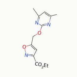 CCOC(=O)c1cc(COc2nc(C)cc(C)n2)on1